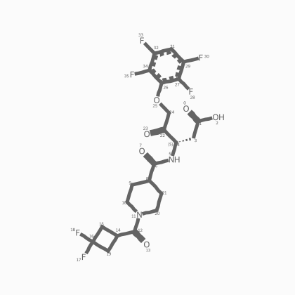 O=C(O)C[C@H](NC(=O)C1CCN(C(=O)C2CC(F)(F)C2)CC1)C(=O)COc1c(F)c(F)cc(F)c1F